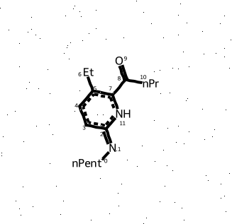 CCCCCN=c1ccc(CC)c(C(=O)CCC)[nH]1